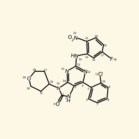 O=c1[nH]c2c(-c3ccccc3Cl)nc(Nc3cc(F)ccc3[N+](=O)[O-])nc2n1C1CCOCC1